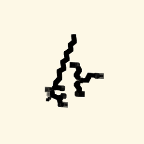 CCCCCCCCCCCC(=O)N[C@@H](C)C(=O)O.OCCN(CCO)CCO